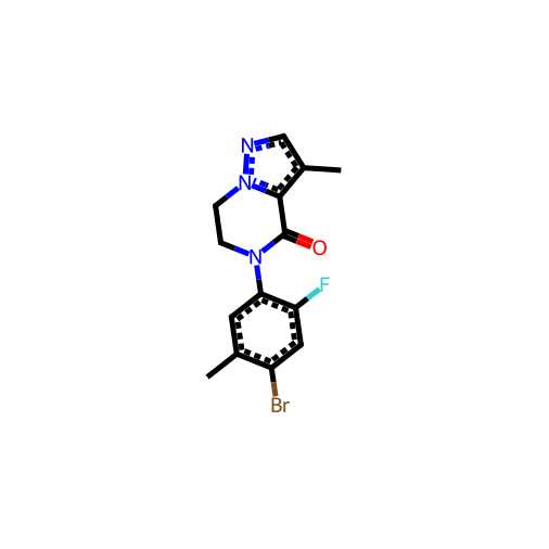 Cc1cc(N2CCn3ncc(C)c3C2=O)c(F)cc1Br